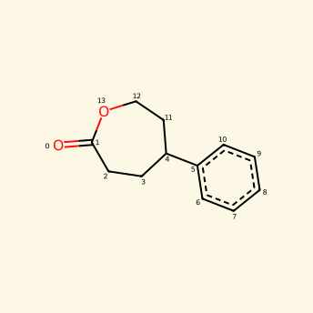 O=C1CCC(c2ccccc2)CCO1